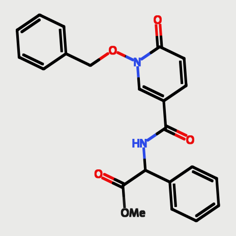 COC(=O)C(NC(=O)c1ccc(=O)n(OCc2ccccc2)c1)c1ccccc1